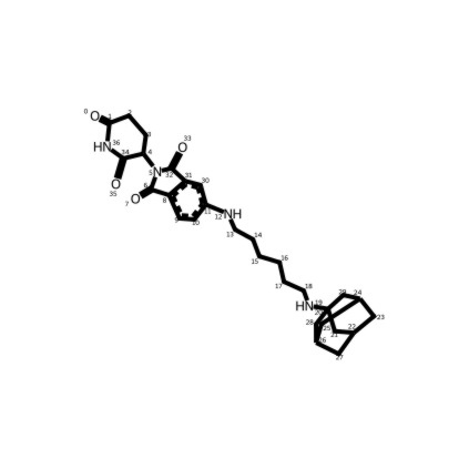 O=C1CCC(N2C(=O)c3ccc(NCCCCCCNC45CC6CC(CC(C6)C4)C5)cc3C2=O)C(=O)N1